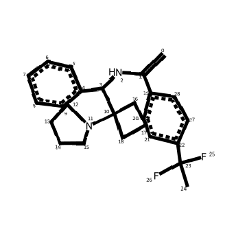 C=C(NC(c1ccccc1)C1(N2CCCC2)CCC1)c1ccc(C(C)(F)F)cc1